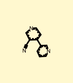 N#Cc1cnccc1-c1cccnc1